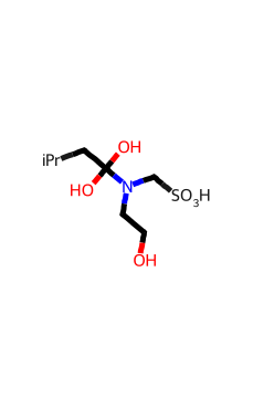 CC(C)CC(O)(O)N(CCO)CS(=O)(=O)O